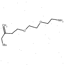 C=C(CCOCCOCCN)CC(C)(C)C